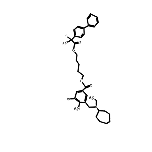 CCN(Cc1cc(C(=O)OCCCCCOC(=O)C(C)(F)c2ccc(-c3ccccc3)cc2)cc(Br)c1N)C1CCCCCC1